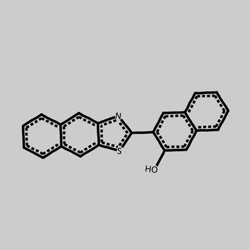 Oc1cc2ccccc2cc1-c1nc2cc3ccccc3cc2s1